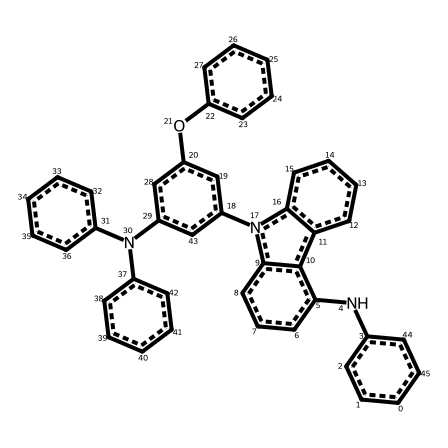 c1ccc(Nc2cccc3c2c2ccccc2n3-c2cc(Oc3ccccc3)cc(N(c3ccccc3)c3ccccc3)c2)cc1